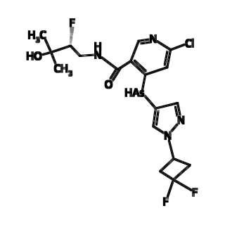 CC(C)(O)[C@H](F)CNC(=O)c1cnc(Cl)cc1[AsH]c1cnn(C2CC(F)(F)C2)c1